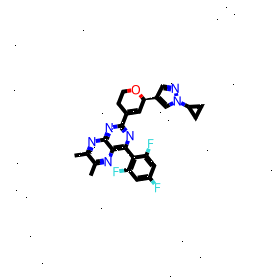 Cc1nc2nc(C3=C[C@H](c4cnn(C5CC5)c4)OCC3)nc(-c3c(F)cc(F)cc3F)c2nc1C